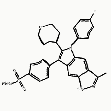 CNS(=O)(=O)c1ccc(-c2c(C3CCOCC3)n(-c3ccc(F)cc3)c3cc4c(C)n[nH]c4cc23)cc1